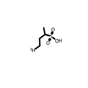 [2H]CCC(C)S(=O)(=O)O